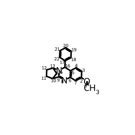 COc1ccc2c(c1)N=C1C3CCC(C3)N1C2c1ccccc1